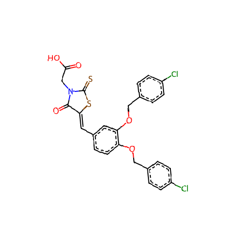 O=C(O)CN1C(=O)C(=Cc2ccc(OCc3ccc(Cl)cc3)c(OCc3ccc(Cl)cc3)c2)SC1=S